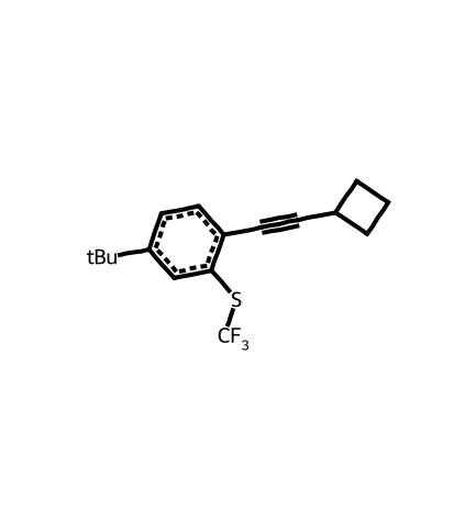 CC(C)(C)c1ccc(C#CC2CCC2)c(SC(F)(F)F)c1